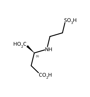 O=C(O)C[C@H](NCCS(=O)(=O)O)C(=O)O